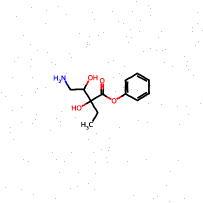 CCC(O)(C(=O)Oc1ccccc1)C(O)CN